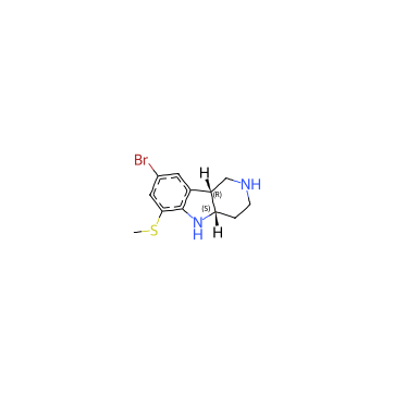 CSc1cc(Br)cc2c1N[C@H]1CCNC[C@@H]21